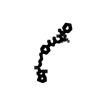 N[C@H](CC(=O)OC(=O)c1ccc(OCCCNc2nc3ccccc3[nH]2)cc1)NS(=O)(=O)c1ccccc1